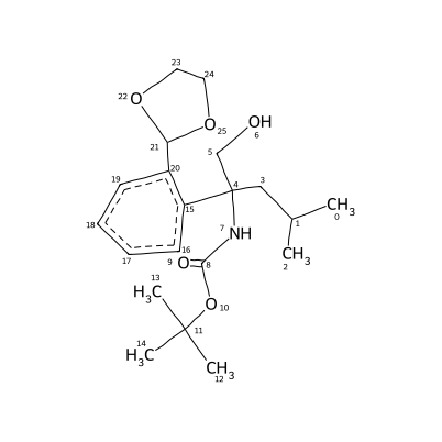 CC(C)CC(CO)(NC(=O)OC(C)(C)C)c1ccccc1C1OCCO1